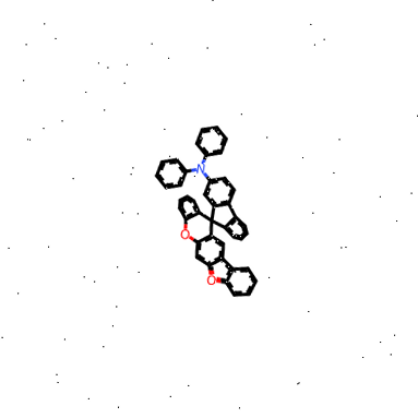 c1ccc(N(c2ccccc2)c2ccc3c(c2)C2(c4ccccc4Oc4cc5oc6ccccc6c5cc42)c2ccccc2-3)cc1